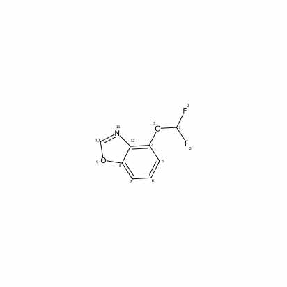 FC(F)Oc1cccc2ocnc12